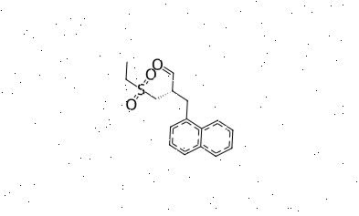 CCS(=O)(=O)C[C@H](C=O)Cc1cccc2ccccc12